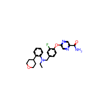 CCN(Cc1ccc(Oc2cnc(C(N)=O)cn2)c(F)c1)c1ccccc1C1CCOCC1